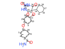 NC(=O)c1ccc(Oc2ccc(OC3(C4CCCCC4)C(=O)NC(=O)NC3=O)cc2)cc1